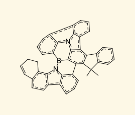 CC1(C)c2ccccc2-c2c1c1c3c4c2c2cccc5c6cccc(c6n4c52)B3n2c3c-1cccc3c1ccc3c(c12)CCC=C3